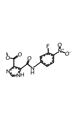 COC(=O)c1nc[nH]c1C(=O)Nc1ccc([N+](=O)[O-])c(F)c1